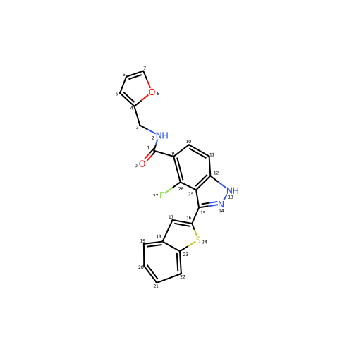 O=C(NCc1ccco1)c1ccc2[nH]nc(-c3cc4ccccc4s3)c2c1F